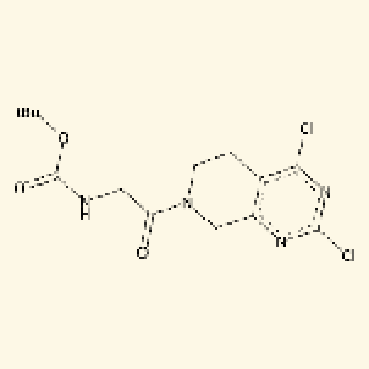 CC(C)(C)OC(=O)NCC(=O)N1CCc2c(Cl)nc(Cl)nc2C1